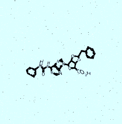 O=C(Nc1ccccc1)Nc1ncnc2c1ncn2C1OC(C(=O)O)C2OC(Cc3ccccc3)OC21